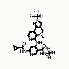 [2H]C([2H])([2H])NC(=O)c1cnc(NC(=O)C2CC2)cc1Nc1nccc2c1N(C)Cc1cn(C([2H])([2H])[2H])nc1-2